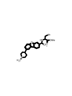 COC(=O)C(CC(C)C)NC(c1ccc2c(c1)oc1ccc(C3CCN(C)CC3)cc12)C(F)(F)F